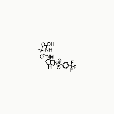 CC(C)(C)[C@H](NC(=O)O)C(=O)N[C@H]1CC[C@@H]2CN(S(=O)(=O)c3ccc(C(F)(F)F)cc3)C[C@@H]21